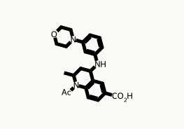 CC(=O)N1c2ccc(C(=O)O)cc2C(Nc2cccc(N3CCOCC3)c2)CC1C